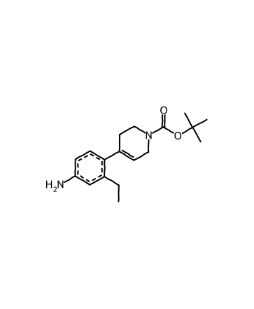 CCc1cc(N)ccc1C1=CCN(C(=O)OC(C)(C)C)CC1